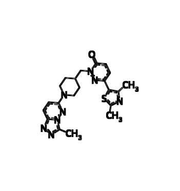 Cc1nc(C)c(-c2ccc(=O)n(CC3CCN(c4ccc5nnc(C)n5n4)CC3)n2)s1